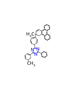 CC1C=CC=C(c2nc(-c3ccccc3)nc(C3C=CC=C(C4(C)C=Cc5c(c6ccccc6c6ccccc56)C4)C=C3)n2)C1